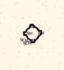 S=C=NC1c2ccc([nH]2)C=C2C=CC(=N2)C=c2ccc([nH]2)=CC2=NC1(N=C=S)C=C2